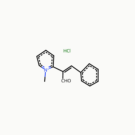 C[n+]1ccccc1C(C=O)=Cc1ccccc1.Cl